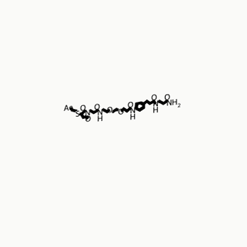 CC(=O)CCSC1CC(=O)N(CCC(=O)NCCOCCOCCC(=O)Nc2ccc(CCC(=O)NCCC(N)=O)cc2)C1=O